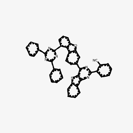 N#Cc1ccccc1-c1nc(-c2ccc3c(c2)oc2cccc(-c4nc(-c5ccccc5)nc(-c5ccccc5)n4)c23)c2sc3ccccc3c2n1